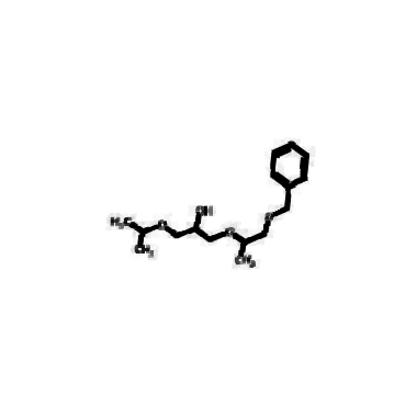 CC(C)OCC(O)COC(C)COCc1ccccc1